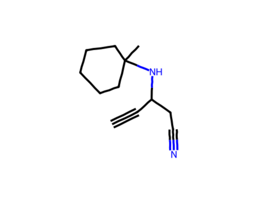 C#CC(CC#N)NC1(C)CCCCC1